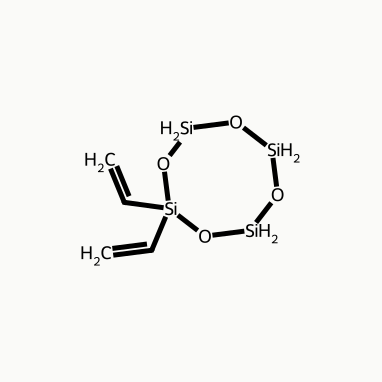 C=C[Si]1(C=C)O[SiH2]O[SiH2]O[SiH2]O1